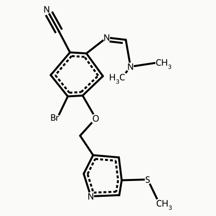 CSc1cncc(COc2cc(/N=C\N(C)C)c(C#N)cc2Br)c1